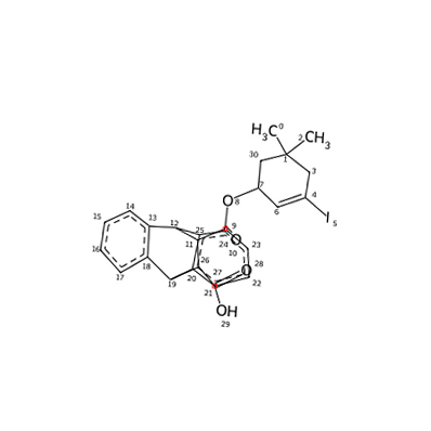 CC1(C)CC(I)=CC(OC(=O)C2C3c4ccccc4C(c4ccccc43)C2C(=O)O)C1